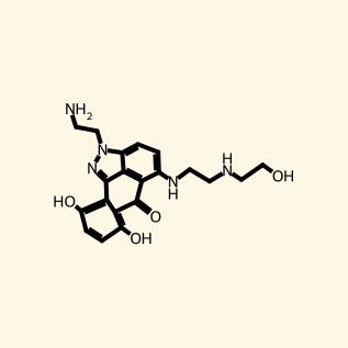 NCCn1nc2c3c(c(NCCNCCO)ccc31)C(=O)c1c(O)ccc(O)c1-2